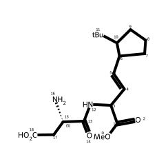 COC(=O)C(C=CC1CCCC1C(C)(C)C)NC(=O)[C@@H](N)CC(=O)O